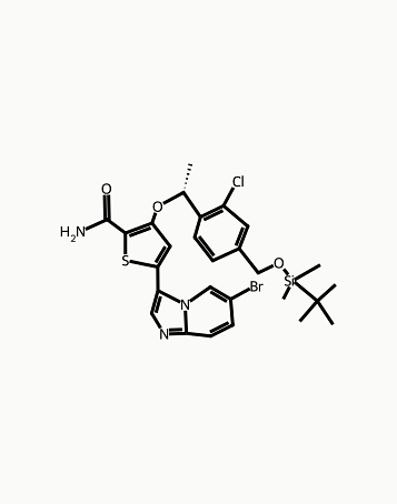 C[C@@H](Oc1cc(-c2cnc3ccc(Br)cn23)sc1C(N)=O)c1ccc(CO[Si](C)(C)C(C)(C)C)cc1Cl